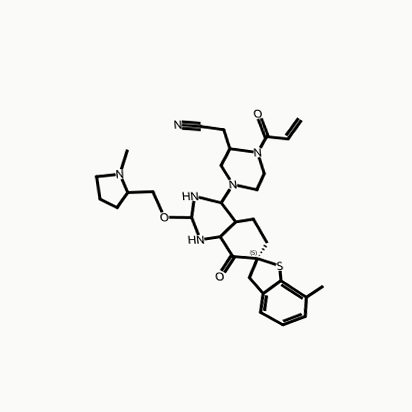 C=CC(=O)N1CCN(C2NC(OCC3CCCN3C)NC3C(=O)[C@]4(CCC32)Cc2cccc(C)c2S4)CC1CC#N